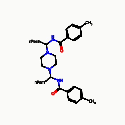 CCCCCC(NC(=O)c1ccc(C)cc1)N1CCN(C(CCCCC)NC(=O)c2ccc(C)cc2)CC1